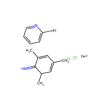 CC1=CC(C)C(=N)C(C)=C1.CCCc1ccccn1.[Cl-].[Cl-].[Fe+2]